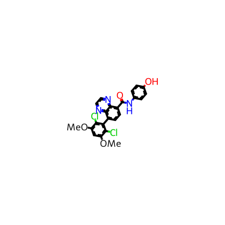 COc1cc(OC)c(Cl)c(-c2ccc(C(=O)Nc3ccc(O)cc3)c3nccnc23)c1Cl